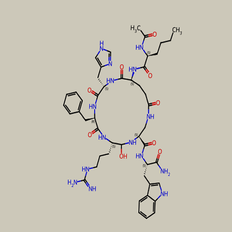 CCCC[C@H](NC(C)=O)C(=O)N[C@H]1CCC(=O)NC[C@@H](C(=O)N[C@@H](Cc2c[nH]c3ccccc23)C(N)=O)NC(O)[C@H](CCCNC(=N)N)NC(=O)[C@@H](Cc2ccccc2)NC(=O)[C@H](Cc2c[nH]cn2)NC1=O